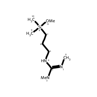 CN=C(NC)NCCC[Si](C)(C)OC